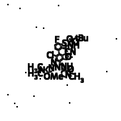 COC1CN(c2nc(N[C@@H]3CCCN(C)C3=O)c3c4c(c(-c5ccc(F)c6sc(NC(=O)OC(C)(C)C)c(C#N)c56)c(Cl)c3n2)COC4)CC1N(C)C